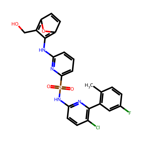 Cc1ccc(F)cc1-c1nc(NS(=O)(=O)c2cccc(Nc3c(CO)c4ccc3o4)n2)ccc1Cl